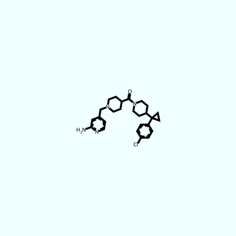 Nc1cc(CN2CCC(C(=O)N3CCC(C4(c5ccc(Cl)cc5)CC4)CC3)CC2)ccn1